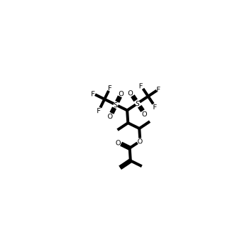 C=C(C)C(=O)OC(C)C(C)C(S(=O)(=O)C(F)(F)F)S(=O)(=O)C(F)(F)F